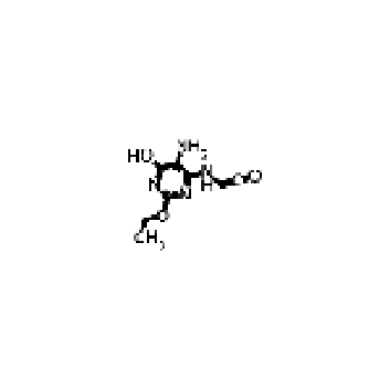 CCOc1nc(O)c(N)c(NC=C=O)n1